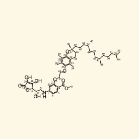 COC(=O)c1ccc(NC[C@H](O)[C@H]2OC(=O)C(O)=C2O)cc1OCCOc1c(C)c(C)c2c(c1C)CC[C@@](C)(CCC[C@H](C)CCC[C@H](C)CCCC(C)C)O2